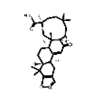 CC1(C)CC[C@](C)(C(N)=O)CC[C@]2(C)[C@@](O)(CC1)C(=O)C=C1[C@@]3(C)Cc4cnoc4C(C)(C)[C@@H]3CC[C@]12C